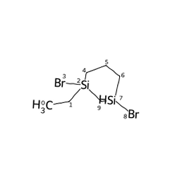 CC[Si]1(Br)CCC[SiH](Br)C1